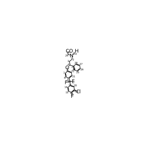 CN(CCC(Oc1ccc(C(F)(F)c2ccc(F)c(Cl)c2)cc1)c1ccccc1)CC(=O)O